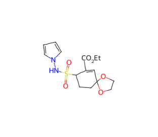 CCOC(=O)C1=CC2(CCC1S(=O)(=O)Nn1cccc1)OCCO2